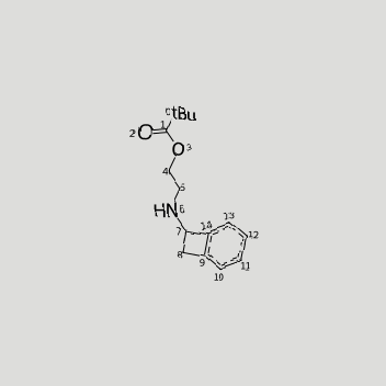 CC(C)(C)C(=O)OCCNC1Cc2ccccc21